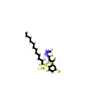 CCCCCCCCCCCCS(S)(S)C1=C(C(C)=Cc2nncs2)CC(=S)C=C1